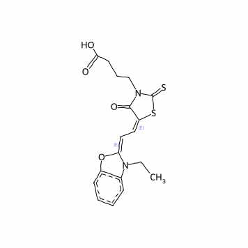 CCN1/C(=C\C=C2\SC(=S)N(CCCC(=O)O)C2=O)Oc2ccccc21